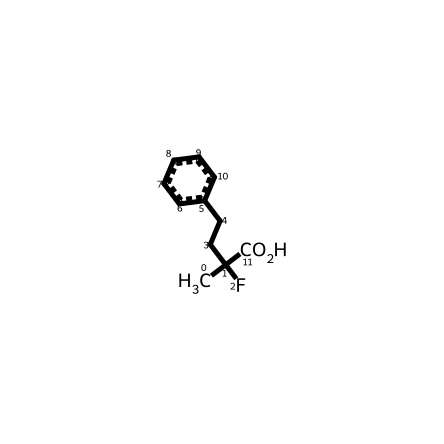 CC(F)(CCc1ccccc1)C(=O)O